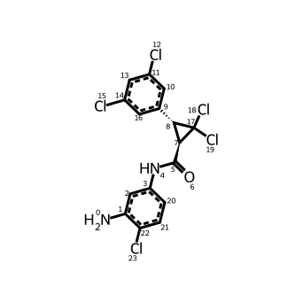 Nc1cc(NC(=O)[C@H]2[C@H](c3cc(Cl)cc(Cl)c3)C2(Cl)Cl)ccc1Cl